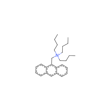 CCCC[N+](CCCC)(CCCC)Cc1c2ccccc2cc2ccccc12